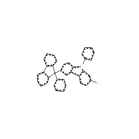 Brc1ccc2c3cc(C4(c5ccccc5)c5ccccc5-c5ccccc54)ccc3n(-c3ccccc3)c2c1